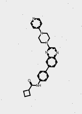 O=C(Nc1ccc(-c2ccc3ncc(N4CCN(c5ccncc5)CC4)nc3c2)cc1)C1CCC1